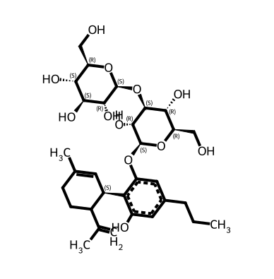 C=C(C)C1CCC(C)=C[C@H]1c1c(O)cc(CCC)cc1O[C@@H]1O[C@H](CO)[C@@H](O)[C@H](O[C@@H]2O[C@H](CO)[C@@H](O)[C@H](O)[C@H]2O)[C@H]1O